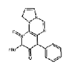 CCCCC1C(=O)C(c2ccccc2)C2=C(N3CC=CN3C=N2)[N+]1=O